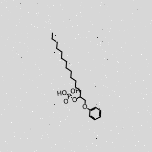 CCCCCCCCCCCCCC(COc1ccccc1)OP(=O)(O)O